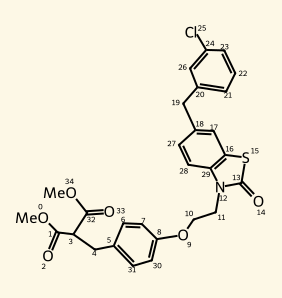 COC(=O)C(Cc1ccc(OCCn2c(=O)sc3cc(Cc4cccc(Cl)c4)ccc32)cc1)C(=O)OC